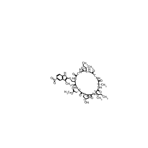 CC[C@H](C)[C@@H]1NC(=O)CNC(=O)[C@H](C)NC(=O)[C@H]([C@@H](C)CC)NC(=O)[C@@H]2C[C@H](O)CN2C(=O)[C@H](CC(=O)OC)NC(=O)C(CSc2[nH]c3ccc([N+](=O)[O-])cc3c2C)NC(=O)CNC1=O